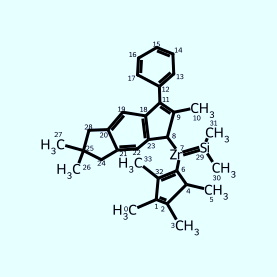 CC1=C(C)C(C)[C]([Zr]([CH]2C(C)=C(c3ccccc3)c3cc4c(cc32)CC(C)(C)C4)=[Si](C)C)=C1C